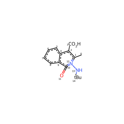 Cc1c(C(=O)O)c2ccccc2c(=O)n1NC(C)(C)C